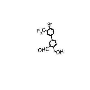 O=Cc1cc(-c2ccc(Br)c(C(F)(F)F)c2)ccc1CO